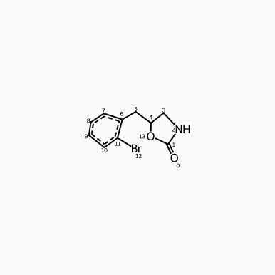 O=C1NCC(Cc2ccccc2Br)O1